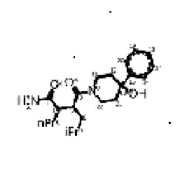 CCCC(C(N)=O)C(CC(C)C)C(=O)N1CCC(O)(c2ccccc2)CC1